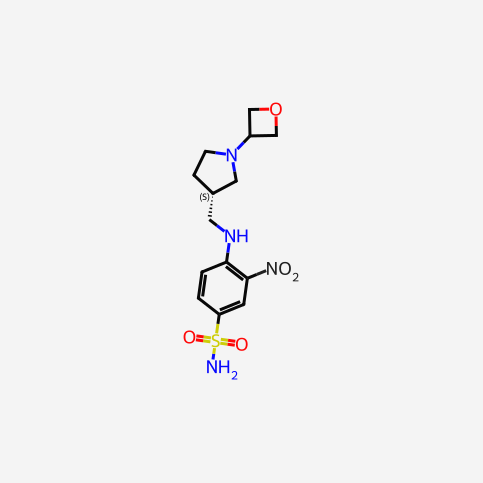 NS(=O)(=O)c1ccc(NC[C@@H]2CCN(C3COC3)C2)c([N+](=O)[O-])c1